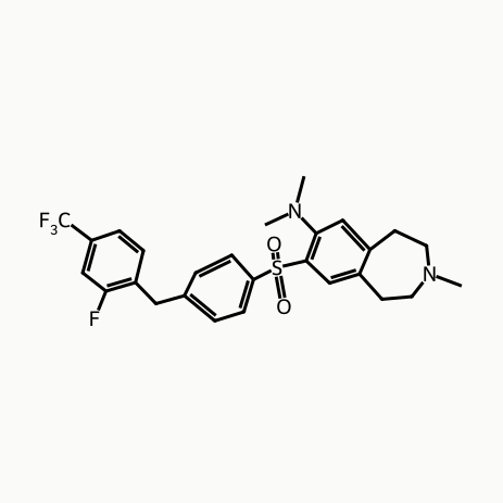 CN1CCc2cc(N(C)C)c(S(=O)(=O)c3ccc(Cc4ccc(C(F)(F)F)cc4F)cc3)cc2CC1